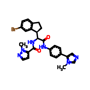 Cn1cncc1-c1ccc(NC(=O)[C@@H](NC(=O)c2ccnn2C)[C@@H]2CCc3ccc(Br)cc32)cc1